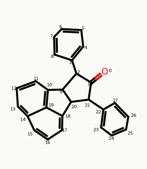 O=C1C(c2ccccc2)C2c3cccc4cccc(c34)C2C1c1ccccc1